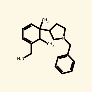 CC1C(CN)=CC=CC1(C)C1CCN(Cc2ccccc2)C1